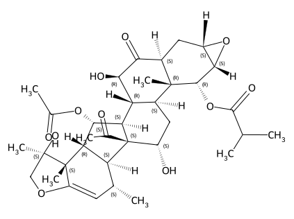 CC(=O)O[C@@H]1[C@H]2[C@@H]3[C@@H](O)C(=O)[C@H]4C[C@@H]5O[C@@H]5[C@H](OC(=O)C(C)C)[C@]4(C)[C@H]3C[C@H](O)[C@]2(C(C)=O)[C@@H]2[C@@H]1[C@]1(C)C(=C[C@H]2C)OC[C@@]1(C)O